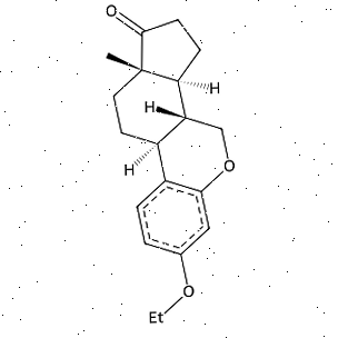 CCOc1ccc2c(c1)OC[C@@H]1[C@@H]2CC[C@]2(C)C(=O)CC[C@@H]12